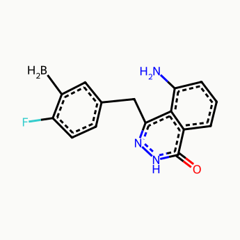 Bc1cc(Cc2n[nH]c(=O)c3cccc(N)c23)ccc1F